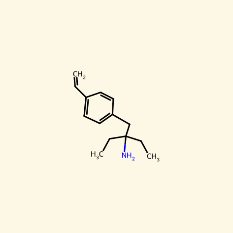 C=Cc1ccc(CC(N)(CC)CC)cc1